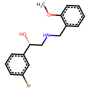 COc1ccccc1CNC[C@@H](O)c1cccc(Br)c1